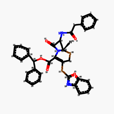 O=C(Cc1ccccc1)NC1C(=O)N2C(C(=O)OC(c3ccccc3)c3ccccc3)=C(Sc3nc4ccccc4o3)CS[C@@H]12